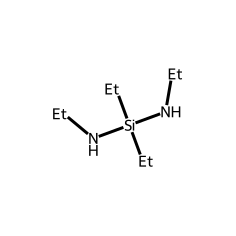 CCN[Si](CC)(CC)NCC